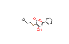 O=c1oc(-c2ccccc2)cc(O)c1SCCC1CC1